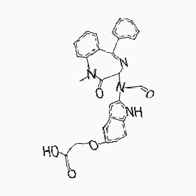 CN1C(=O)C(N(C=O)c2cc3cc(OCC(=O)O)ccc3[nH]2)N=C(c2ccccc2)c2ccccc21